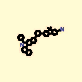 CC1(C)c2cc(C#N)ccc2-c2ccc(-c3cccc(-c4ccc5cc6c(cc5c4)c(-c4ccccc4)nc4ccc5ccccc5c46)c3)cc21